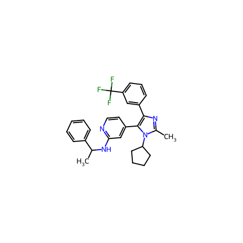 Cc1nc(-c2cccc(C(F)(F)F)c2)c(-c2ccnc(NC(C)c3ccccc3)c2)n1C1CCCC1